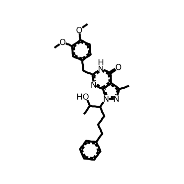 COc1ccc(Cc2nc3c(c(C)nn3C(CCCc3ccccc3)C(C)O)c(=O)[nH]2)cc1OC